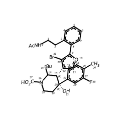 CC(=O)NCCc1ccccc1-c1onc([C@H]2C(C(C)(C)C)N(C(=O)O)CC[C@]2(O)c2ccc(C)c(F)c2)c1Br